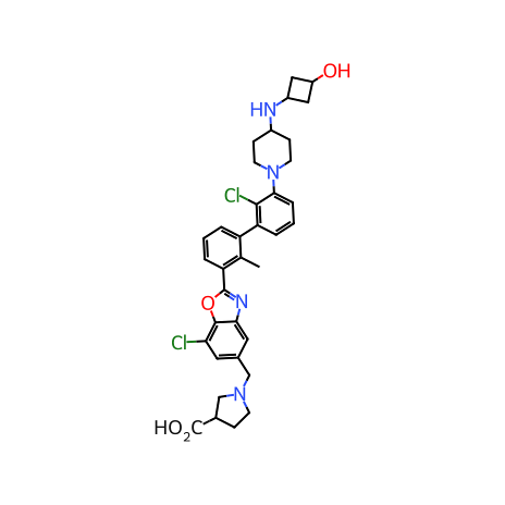 Cc1c(-c2nc3cc(CN4CCC(C(=O)O)C4)cc(Cl)c3o2)cccc1-c1cccc(N2CCC(NC3CC(O)C3)CC2)c1Cl